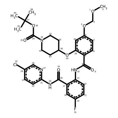 COCOc1ccc(C(=O)Nc2ccc(F)cc2C(=O)Nc2ccc(Cl)cn2)c(OC2CCN(C(=O)OC(C)(C)C)CC2)c1